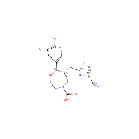 N#Cc1csc(C[C@@H]2CN(C(=O)O)CCO[C@H]2c2ccc(Cl)c(Cl)c2)n1